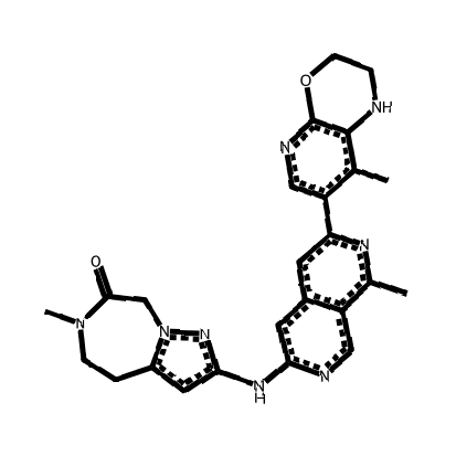 Cc1c(-c2cc3cc(Nc4cc5n(n4)CC(=O)N(C)CC5)ncc3c(C)n2)cnc2c1NCCO2